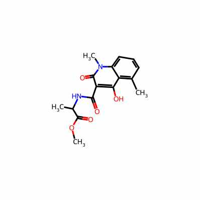 COC(=O)C(C)NC(=O)c1c(O)c2c(C)cccc2n(C)c1=O